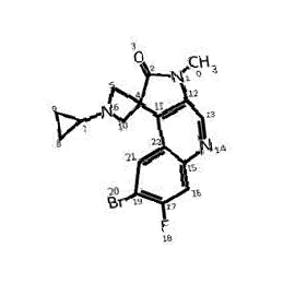 CN1C(=O)C2(CN(C3CC3)C2)c2c1cnc1cc(F)c(Br)cc21